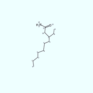 CCCCCCCC(CC)CC(N)=O